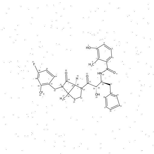 Cc1c(O)cccc1C(=O)N[C@@H](Cc1ccccc1)[C@H](O)C(=O)N1CSC2(C)[C@H]1C(=O)N2Cc1ccc(F)cc1C(F)(F)F